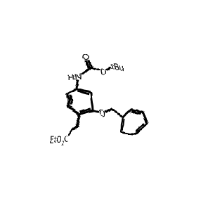 CCOC(=O)Cc1ccc(NC(=O)OC(C)(C)C)cc1OCc1ccccc1